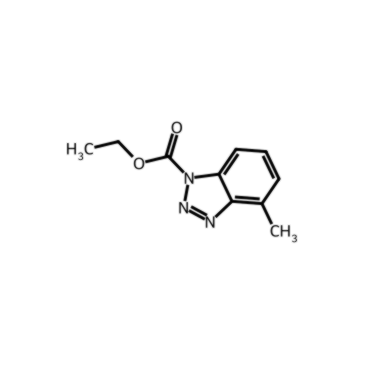 CCOC(=O)n1nnc2c(C)cccc21